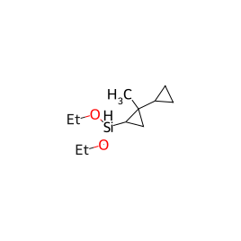 CCO[SiH](OCC)C1CC1(C)C1CC1